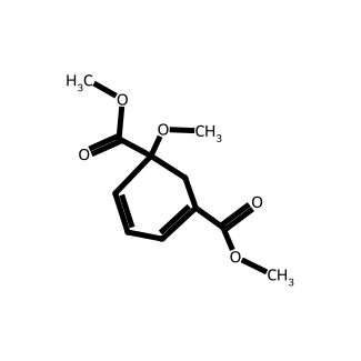 COC(=O)C1=CC=CC(OC)(C(=O)OC)C1